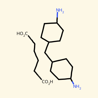 NC1CCC(CC2CCC(N)CC2)CC1.O=C(O)CCCCC(=O)O